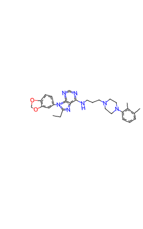 CCc1nc2c(NCCCN3CCN(c4cccc(C)c4C)CC3)ncnc2n1-c1ccc2c(c1)OCO2